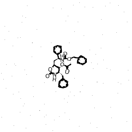 CC(=O)O[C@@H]1[C@H](Cc2ccccc2)NC(=O)O[C@H]1C[C@H](NC(=O)OCc1ccccc1)c1ccccc1